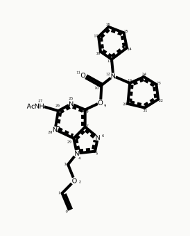 C=COCn1cnc2c(OC(=O)N(c3ccccc3)c3ccccc3)nc(NC(C)=O)nc21